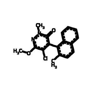 COc1nn(C)c(=O)c(-c2c(C)ccc3ccccc23)c1Cl